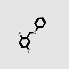 Fc1ccc(F)c(COc2cc[c]cc2)c1